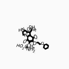 COC12C(CO)C3=C(C(=O)C(C)=C(OCCOc4ccccc4)C3=O)N1CC1NC12.NC(=O)O